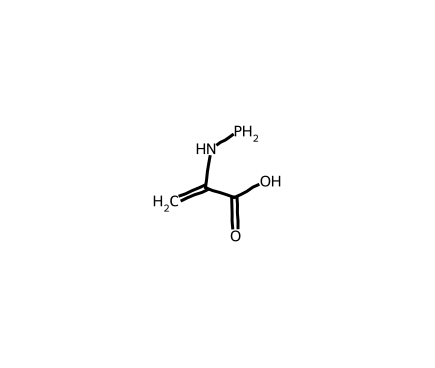 C=C(NP)C(=O)O